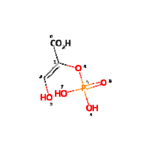 O=C(O)C(=CO)OP(=O)(O)O